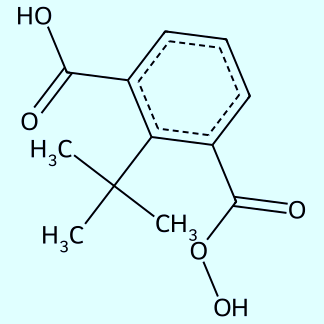 CC(C)(C)c1c(C(=O)O)cccc1C(=O)OO